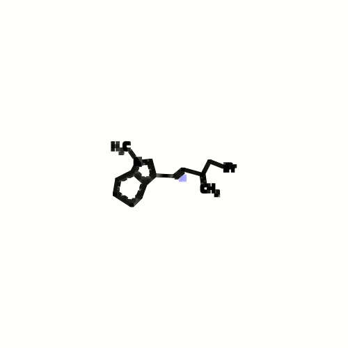 C=C(/C=C/c1cn(C)c2ccccc12)CC(C)C